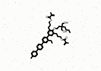 C=C(C)C(=O)OCCCc1cc(-c2ccc(-c3ccc(-c4ccc(C)cc4)cc3)cc2CC)cc(CCCOC(=O)C(=C)C)c1OCCC(CO)(CO)CCCC